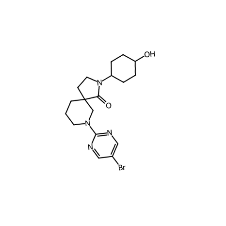 O=C1N(C2CCC(O)CC2)CCC12CCCN(c1ncc(Br)cn1)C2